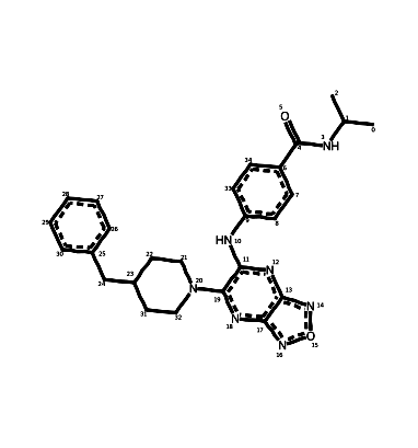 CC(C)NC(=O)c1ccc(Nc2nc3nonc3nc2N2CCC(Cc3ccccc3)CC2)cc1